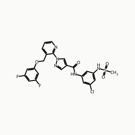 CS(=O)(=O)Nc1cc(Cl)cc(NC(=O)c2cnn(-c3ncccc3COc3cc(F)cc(F)c3)c2)c1